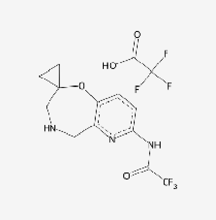 O=C(Nc1ccc2c(n1)CNCC1(CC1)O2)C(F)(F)F.O=C(O)C(F)(F)F